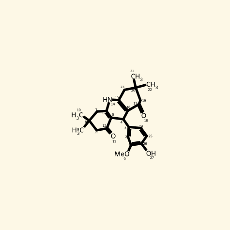 COc1cc(C2C3=C(CC(C)(C)CC3=O)NC3=C2C(=O)CC(C)(C)C3)ccc1O